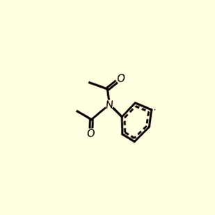 CC(=O)N(C(C)=O)c1c[c]ccc1